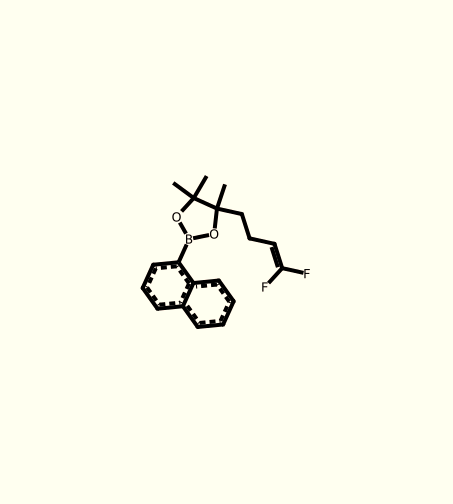 CC1(C)OB(c2cccc3ccccc23)OC1(C)CCC=C(F)F